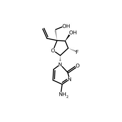 C=C[C@]1(CO)O[C@@H](n2ccc(N)nc2=O)[C@@H](F)[C@@H]1O